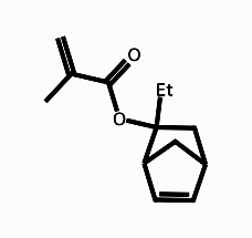 C=C(C)C(=O)OC1(CC)CC2C=CC1C2